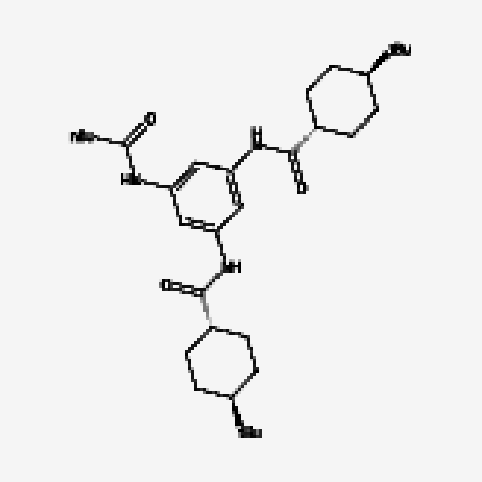 CCCCC(=O)Nc1cc(NC(=O)[C@H]2CC[C@H](C(C)(C)C)CC2)cc(NC(=O)[C@H]2CC[C@H](C(C)(C)C)CC2)c1